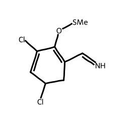 CSOC1=C(C=N)CC(Cl)C=C1Cl